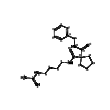 N=C(N)NCCCCNC(=O)C1(C(=O)NCc2ccccc2)CCCC1